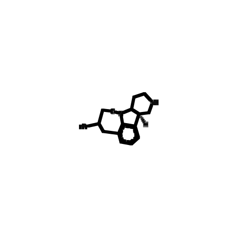 CCCC1CCN2c3c(cccc3[C@@H]3CNCCC32)C1